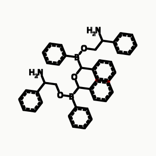 NC(COB(c1ccccc1)C(OC(B(OCC(N)c1ccccc1)c1ccccc1)c1ccccc1)c1ccccc1)c1ccccc1